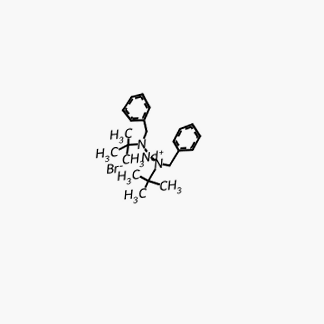 CC(C)(C)[N](Cc1ccccc1)[Nd+][N](Cc1ccccc1)C(C)(C)C.[Br-]